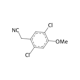 COc1cc(Cl)c(CC#N)cc1Cl